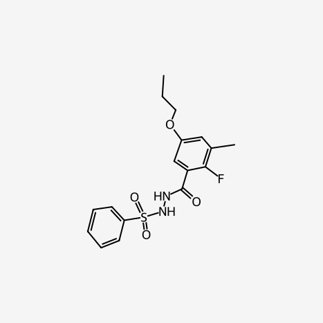 CCCOc1cc(C)c(F)c(C(=O)NNS(=O)(=O)c2ccccc2)c1